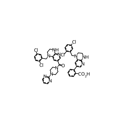 O=C(O)c1ccccc1-c1cnc2c(c1)N(Cc1cc(Cl)ccc1Cl)CCN2.O=C(c1cnc2c(c1)N(Cc1cc(Cl)ccc1Cl)CCN2)N1CCN(c2ncccn2)CC1